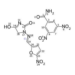 NC(=O)c1cc([N+](=O)[O-])cc([N+](=O)[O-])c1.O=C1N=C(O)CN1/N=C/c1ccc([N+](=O)[O-])o1